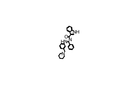 O=C(/N=C(\Nc1cccc(CN2CCCCC2)c1)c1ccccc1)c1c[nH]c2ccccc12